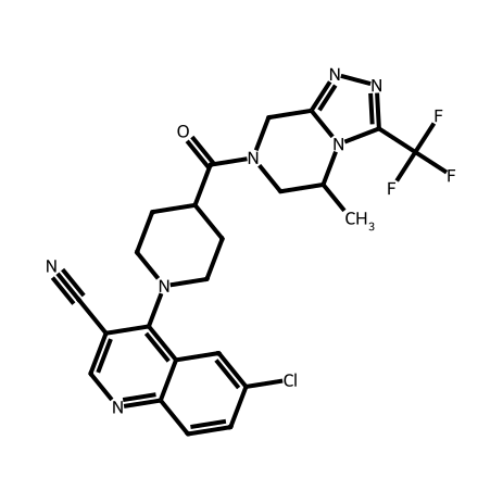 CC1CN(C(=O)C2CCN(c3c(C#N)cnc4ccc(Cl)cc34)CC2)Cc2nnc(C(F)(F)F)n21